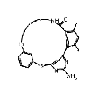 Cc1cc(C)c2cc1C(=O)NCCCCCOc1cccc(c1)Sc1cc-2nc(N)n1